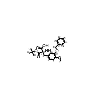 COc1ccc(C[C@](N)(C(=O)O)C(=O)OC(C)(C)C)cc1OCc1ccccc1